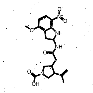 C=C(C)C1CN(C(=O)O)CC1CC(=O)NC1Cc2c(OC)ccc([N+](=O)[O-])c2N1